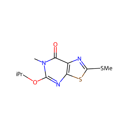 CSc1nc2c(=O)n(C)c(OC(C)C)nc2s1